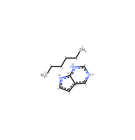 CCCCCC.c1cc2cnc[nH]c-2n1